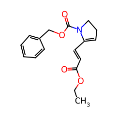 CCOC(=O)C=CC1=CCCN1C(=O)OCc1ccccc1